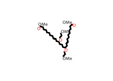 COCCCOC(CC=CCCCCCCCC(=O)OC)CCCC(CC=CCCCCCCCC(=O)OC)OCCCOC